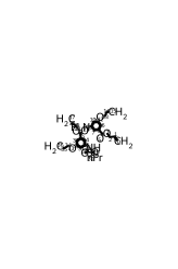 C=CCOC(=O)c1cc(N)cc(OCC=C)c1.C=CCOC(=O)c1cc(NS(=O)(=O)CCC)cc(OCC=C)c1